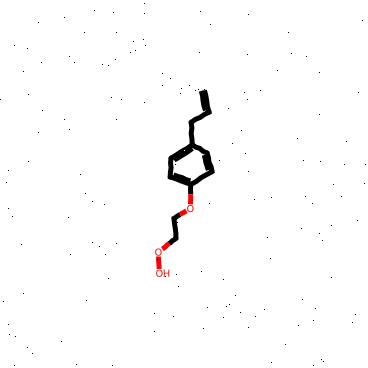 C=CCc1ccc(OCCOO)cc1